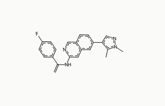 C=C(Nc1cc2cc(-c3cnn(C)c3C)ccc2cn1)c1ccc(F)cc1